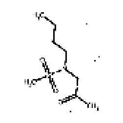 CCCCN(CC(C)=O)S(C)(=O)=O